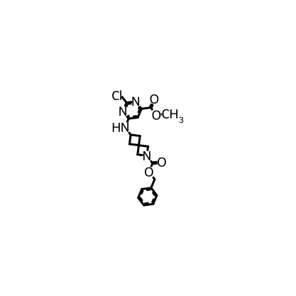 COC(=O)c1cc(NC2CC3(C2)CN(C(=O)OCc2ccccc2)C3)nc(Cl)n1